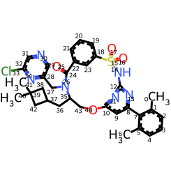 Cc1cccc(C)c1-c1cc2nc(n1)NS(=O)(=O)c1cccc(c1)C(=O)N(Cc1cncc(Cl)n1)C(CC1CC(C)(C)C1)CO2